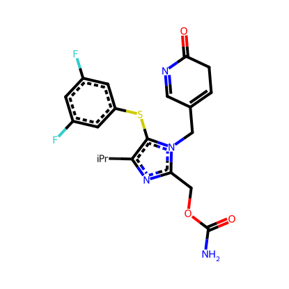 CC(C)c1nc(COC(N)=O)n(CC2=CCC(=O)N=C2)c1Sc1cc(F)cc(F)c1